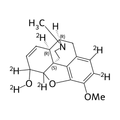 [2H]OC1([2H])C=C[C@@]2([2H])[C@H]3Cc4c([2H])c([2H])c(OC)c5c4[C@@]2(CCN3C)C1([2H])O5